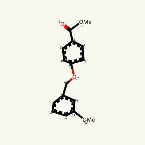 COC(=O)c1ccc(OCc2cccc(OC)c2)cc1